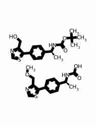 COCc1ncsc1-c1ccc([C@H](C)NC(=O)O)cc1.C[C@H](NC(=O)OC(C)(C)C)c1ccc(-c2scnc2CO)cc1